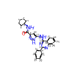 O=C(NC1CCCCC1)c1cc(Nc2nc(-c3ccccc3)nc3ccccc23)[nH]n1